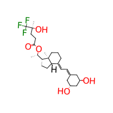 C[C@H](OC(=O)CC[C@](C)(O)C(F)(F)F)[C@H]1CC[C@H]2/C(=C/C=C3C[C@@H](O)C[C@H](O)C3)CCC[C@]12C